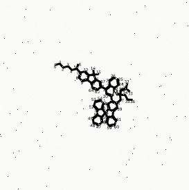 CCCCCC(C)c1ccc2c(c1)C(C)(C)c1cc(-c3cc4[n+](c5ccccc35)C(C=C(C)C)(CCC)Cc3cc5c(cc3-4)C3(c4ccccc4-c4ccccc43)c3ccccc3-5)ccc1-2